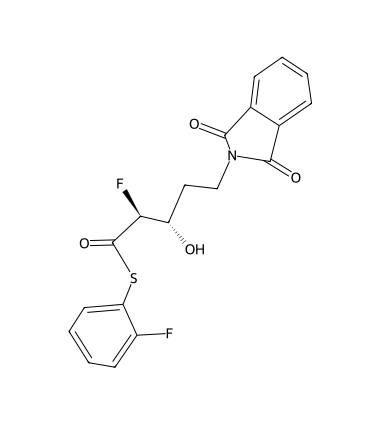 O=C(Sc1ccccc1F)[C@@H](F)[C@@H](O)CCN1C(=O)c2ccccc2C1=O